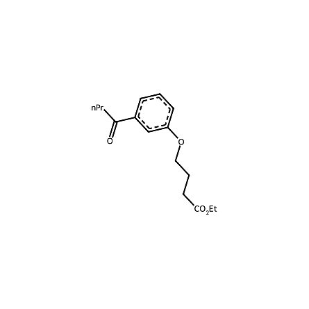 CCCC(=O)c1cccc(OCCCC(=O)OCC)c1